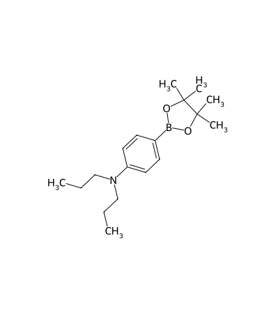 CCCN(CCC)c1ccc(B2OC(C)(C)C(C)(C)O2)cc1